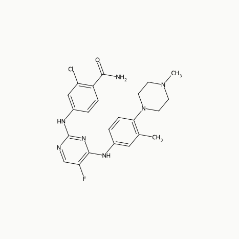 Cc1cc(Nc2nc(Nc3ccc(C(N)=O)c(Cl)c3)ncc2F)ccc1N1CCN(C)CC1